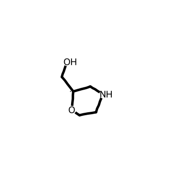 OC[C]1CNCCO1